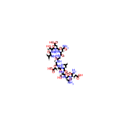 CC(C)C[C@H](NC(=O)[C@H](CCC(=O)O)NC(=O)[C@H](C)NC(=O)CNC(=O)[C@H](CCC(N)=O)NC(=O)[C@H](CCC(=O)O)NC(=O)[C@@H](NC(=O)[C@@H](N)C(C)C)[C@@H](C)O)C(=O)N[C@@H](CO)C(=O)N[C@@H](CC(N)=O)C(=O)N[C@@H](CCC(=O)O)C(N)=O